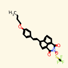 CCCCOc1ccc(/C=C/c2ccc3c4c(cccc24)C(=O)N(OSC(F)(F)F)C3=O)cc1